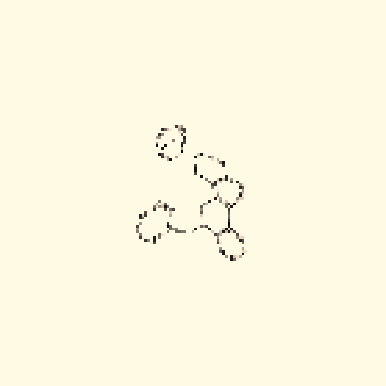 C1=CC2=CC=C(CC2)N1.C1=Cc2ccc3c(c2CC1)CC(Cc1ccccn1)c1ccccc1-3